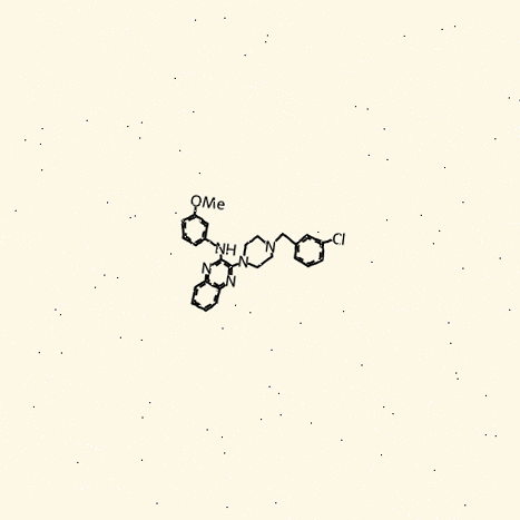 COc1cccc(Nc2nc3ccccc3nc2N2CCN(Cc3cccc(Cl)c3)CC2)c1